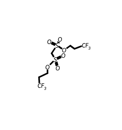 O=S(=O)(CS(=O)(=O)OCCC(F)(F)F)OCCC(F)(F)F